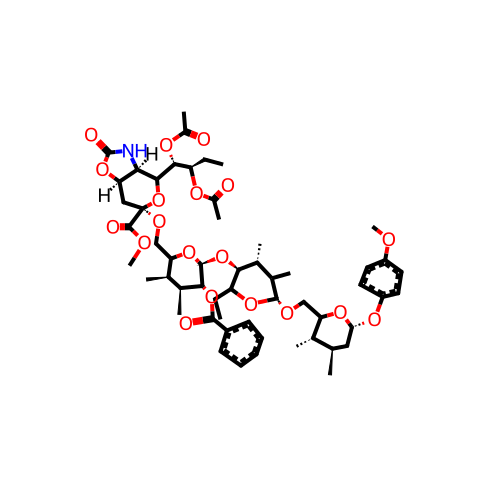 CCC1O[C@@H](OCC2O[C@H](Oc3ccc(OC)cc3)C[C@@H](C)[C@@H]2C)C(C)[C@@H](C)[C@@H]1O[C@@H]1OC(CO[C@]2(C(=O)OC)C[C@H]3OC(=O)N[C@H]3C([C@H](OC(C)=O)[C@@H](CC)OC(C)=O)O2)[C@H](C)[C@H](C)C1OC(=O)c1ccccc1